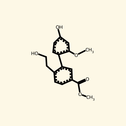 COC(=O)c1ccc(CCO)c(-c2ccc(O)cc2OC)c1